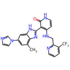 Cc1cc(-n2ccnc2)cc2[nH]c(-c3c(NCc4ncccc4C(F)(F)F)cc[nH]c3=O)nc12